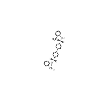 Cc1ccccc1NS(=O)(=O)c1ccc(-c2ccc(S(=O)(=O)Nc3ccccc3C)cc2)cc1